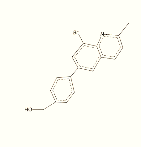 Cc1ccc2cc(-c3ccc(CO)cc3)cc(Br)c2n1